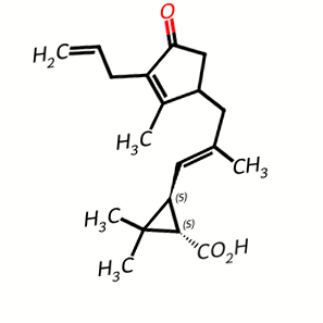 C=CCC1=C(C)C(CC(C)=C[C@H]2[C@H](C(=O)O)C2(C)C)CC1=O